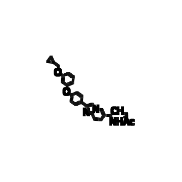 CC(=O)NC(C)c1ccc2nc(-c3ccc(Oc4cccc(OCC5CC5)c4)cc3)cn2c1